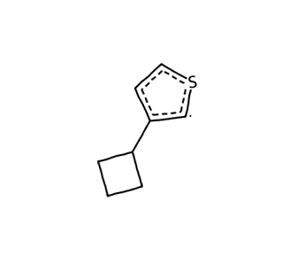 [c]1sccc1C1CCC1